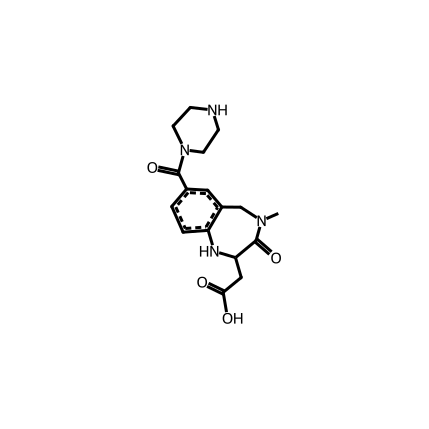 CN1Cc2cc(C(=O)N3CCNCC3)ccc2NC(CC(=O)O)C1=O